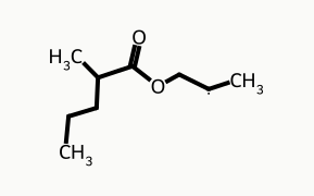 C[CH]COC(=O)C(C)CCC